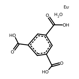 O.O=C(O)c1cc(C(=O)O)cc(C(=O)O)c1.[Eu]